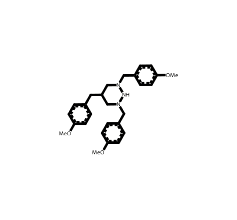 COc1ccc(CC2CN(Cc3ccc(OC)cc3)NN(Cc3ccc(OC)cc3)C2)cc1